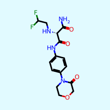 NC(=O)[C@@H](NCC(F)F)C(=O)Nc1ccc(N2CCOCC2=O)cc1